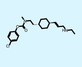 CCNCC=C[C@H]1CC[C@H](CCN(C)C(=O)Oc2ccc(Cl)cc2)CC1